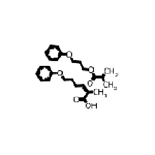 C=C(C)C(=O)OCCCOc1ccccc1.CC(=CCCCOc1ccccc1)C(=O)O